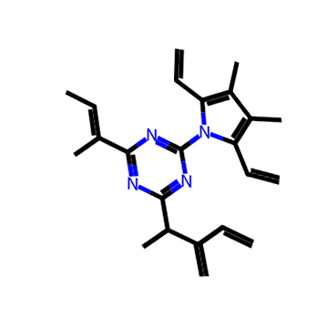 C=CC(=C)C(C)c1nc(/C(C)=C/C)nc(-n2c(C=C)c(C)c(C)c2C=C)n1